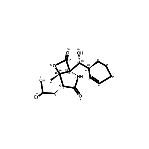 CCC(O)C[C@H]1C(=O)N[C@@]2([C@H](O)[C@@H]3C=CCCC3)C(=O)O[C@@]12C